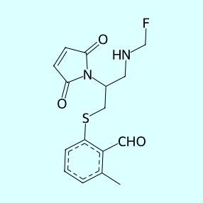 Cc1cccc(SCC(CNCF)N2C(=O)C=CC2=O)c1C=O